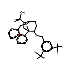 O=C(O)C1CC2(c3ccccc3)C(OCc3cc(C(F)(F)F)cc(C(F)(F)F)c3)CCC1N2Cc1ccccc1